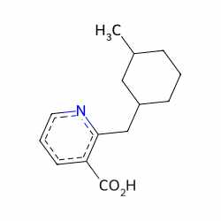 CC1CCCC(Cc2ncccc2C(=O)O)C1